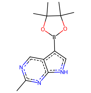 Cc1ncc2c(B3OC(C)(C)C(C)(C)O3)c[nH]c2n1